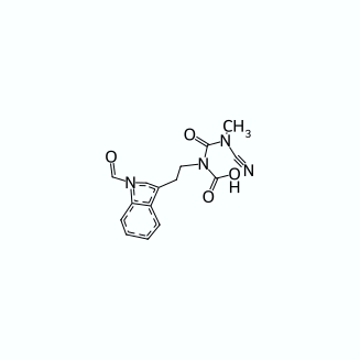 CN(C#N)C(=O)N(CCc1cn(C=O)c2ccccc12)C(=O)O